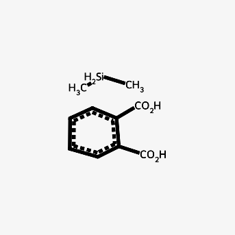 C[SiH2]C.O=C(O)c1ccccc1C(=O)O